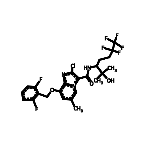 Cc1cc(OCc2c(F)cccc2F)c2nc(Cl)c(C(=O)NC(CCC(F)(F)C(F)(F)F)C(C)(C)O)n2c1